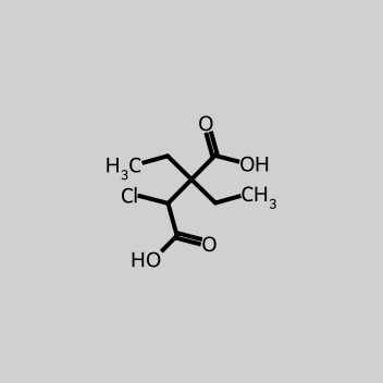 CCC(CC)(C(=O)O)C(Cl)C(=O)O